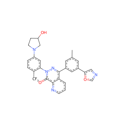 Cc1cc(-c2cnco2)cc(-c2nn(-c3cc(N4CCC(O)C4)ccc3C(F)(F)F)c(=O)c3ncccc23)c1